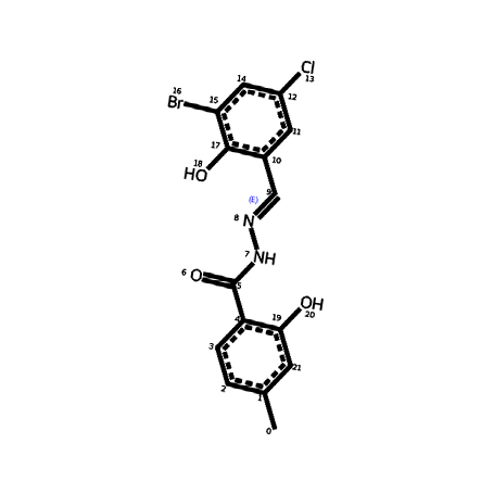 Cc1ccc(C(=O)N/N=C/c2cc(Cl)cc(Br)c2O)c(O)c1